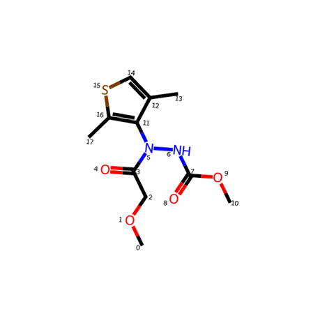 COCC(=O)N(NC(=O)OC)c1c(C)csc1C